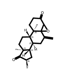 C=C1C[C@H]2[C@@H]3C[C@@H](F)C(=O)[C@@]3(C)CC[C@@H]2[C@@]2(C)CCC(=O)C3OC132